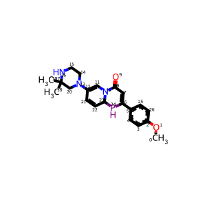 COc1ccc(C2=CC(=O)N3C=C(N4CCNC(C)(C)C4)C=CC3P2)cc1